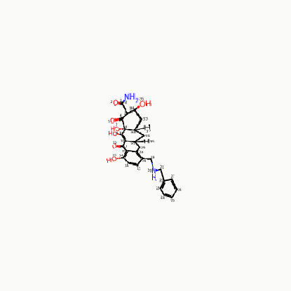 NC(=O)C1C(=O)[C@@]2(O)C(O)=C3C(=O)c4c(O)ccc(CNCc5ccccc5)c4C[C@H]3C[C@H]2CC1O